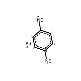 [C-]#[N+]c1ccc([N+]#[C-])cc1.[Pd]